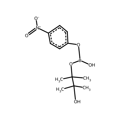 CC(C)(O)C(C)(C)OB(O)Oc1ccc([N+](=O)[O-])cc1